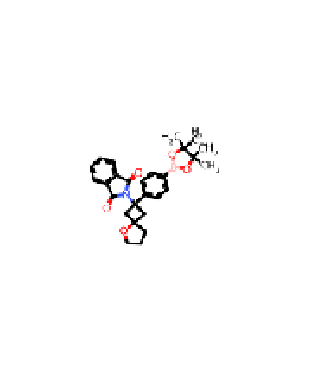 CC1(C)OB(c2ccc(C3(N4C(=O)c5ccccc5C4=O)CC4(CCCO4)C3)cc2)OC1(C)C